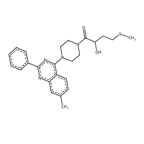 CSCCC(O)C(=O)N1CCN(c2nc(-c3ccccc3)nc3cc(C)ccc23)CC1